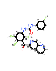 O=C(Nc1cccc(F)c1)Nc1cc(F)c(F)c(C(=O)c2cc3cccnc3cn2)c1F